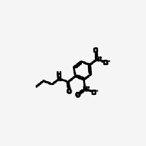 CCCNC(=O)c1ccc([N+](=O)[O-])cc1[N+](=O)[O-]